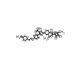 CO[C@H]1CN(c2nc(-c3cnc(OCCC4CCN(C)CC4)cn3)c(C(=O)O)s2)CC[C@H]1NC(=O)c1[nH]c(C)c(Cl)c1Cl